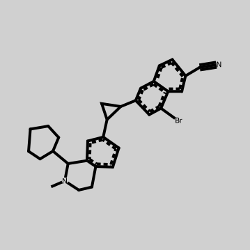 CN1CCc2ccc(C3CC3c3cc(Br)c4cc(C#N)ccc4c3)cc2C1C1CCCCC1